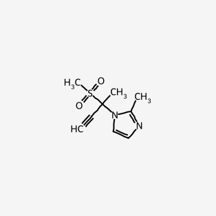 C#CC(C)(n1ccnc1C)S(C)(=O)=O